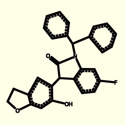 O=C1C(c2cc3c(cc2O)OCC3)c2ccc(F)cc2N1C(c1ccccc1)c1ccccc1